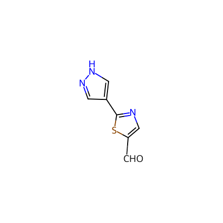 O=Cc1cnc(-c2cn[nH]c2)s1